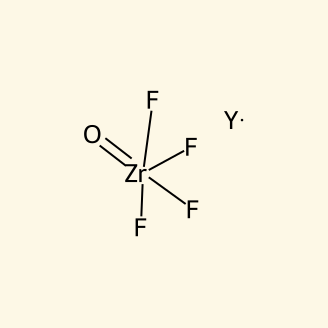 [O]=[Zr]([F])([F])([F])[F].[Y]